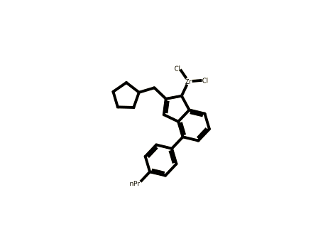 CCCc1ccc(-c2cccc3c2C=C(CC2CCCC2)[CH]3[Zr]([Cl])[Cl])cc1